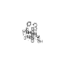 CC(C)[C@H](NC(=O)OCc1ccccc1)C(=O)N[C@@H](C)C(=O)N[C@@H](CC(=O)O)C(=O)NCc1cc2ccccc2oc1=O